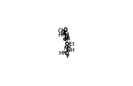 CCc1cc(-c2ccc3c(NS(=O)(=O)c4ccccc4Cl)ncnn23)cc2cnc(N[C@@H]3CNC[C@@H](F)C3)nc12